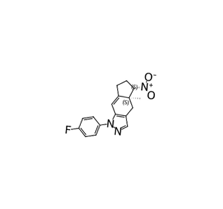 C[C@]12Cc3cnn(-c4ccc(F)cc4)c3C=C1CC[C@@H]2[N+](=O)[O-]